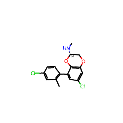 CN[C@@H]1COc2cc(Cl)cc(-c3ccc(Cl)cc3C)c2O1